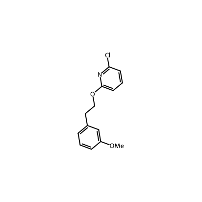 COc1cccc(CCOc2cccc(Cl)n2)c1